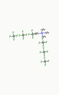 CCC[N+](CCC)(CCC)CCC.F[B-](F)(F)F.F[B-](F)(F)F.F[B-](F)(F)F.F[B-](F)(F)F.F[B-](F)(F)F.F[B-](F)(F)F